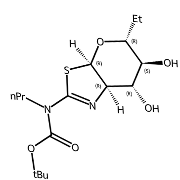 CCCN(C(=O)OC(C)(C)C)C1=N[C@@H]2[C@@H](O)[C@H](O)[C@@H](CC)O[C@@H]2S1